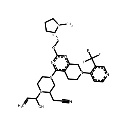 C=CC(O)N1CCN(c2nc(OC[C@@H]3CCCN3C)nc3c2CCN(c2ccncc2C(F)(F)F)C3)CC1CC#N